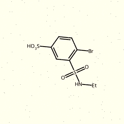 CCNS(=O)(=O)c1cc(S(=O)(=O)O)ccc1Br